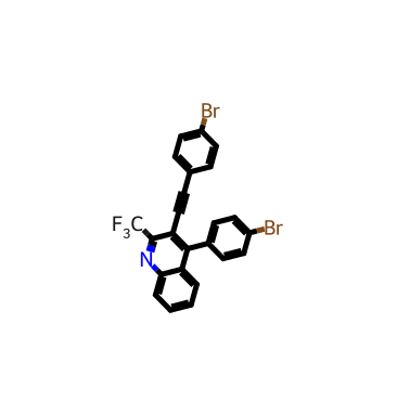 FC(F)(F)c1nc2ccccc2c(-c2ccc(Br)cc2)c1C#Cc1ccc(Br)cc1